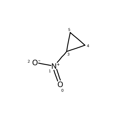 O=[N+]([O-])C1CC1